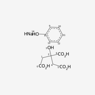 O=C(O)CC(O)(CC(=O)O)C(=O)O.Oc1ccccc1.[NaH]